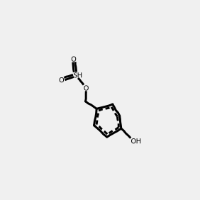 O=[SH](=O)OCc1ccc(O)cc1